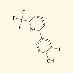 Oc1ccc(-c2cccc(C(F)(F)F)n2)cc1I